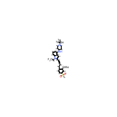 [2H]C([2H])([2H])N1CCC(Nc2cccc3c2cc(C#CCCc2ccc(S(C)(=O)=O)cc2OC)n3CC(F)(F)F)CC1